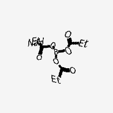 CCC(=O)OB(OC(=O)CC)OC(=O)CC.[NaH]